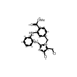 CCCCc1nc(Cl)c(CCl)n1Cc1ccc(C(=O)OC)c(Nc2ccccc2)c1